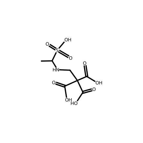 CC(NCC(C(=O)O)(C(=O)O)C(=O)O)S(=O)(=O)O